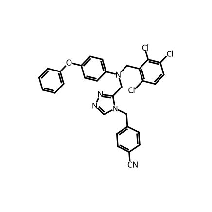 N#Cc1ccc(Cn2cnnc2CN(Cc2c(Cl)ccc(Cl)c2Cl)c2ccc(Oc3ccccc3)cc2)cc1